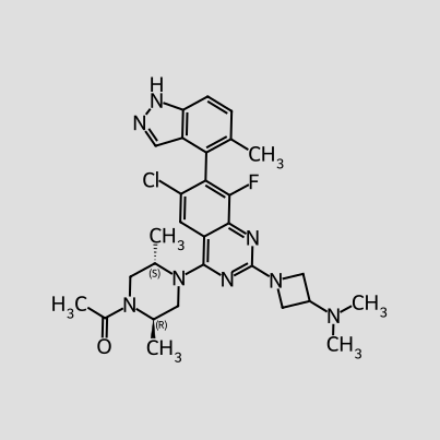 CC(=O)N1C[C@H](C)N(c2nc(N3CC(N(C)C)C3)nc3c(F)c(-c4c(C)ccc5[nH]ncc45)c(Cl)cc23)C[C@H]1C